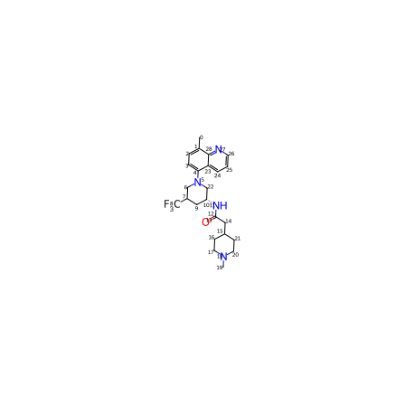 Cc1ccc(N2CC(C(F)(F)F)C[C@@H](NC(=O)CC3CCN(C)CC3)C2)c2cccnc12